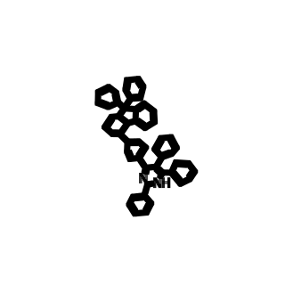 C1=CC2C(C(c3ccc(C4=NC(c5ccccc5)NC(c5ccccc5)=C4c4ccccc4)cc3)=C1)c1ccccc1C2(c1ccccc1)c1ccccc1